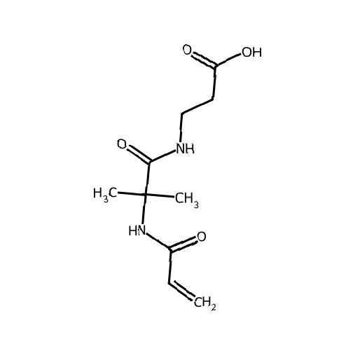 C=CC(=O)NC(C)(C)C(=O)NCCC(=O)O